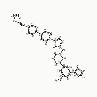 NCC#Cc1ccc(-c2cnc(-n3cnc(CN4CCCC(c5nc(O)cc(-c6cccs6)n5)C4)c3)nc2)cc1